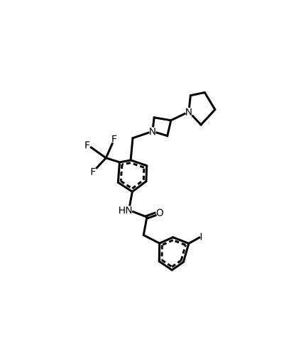 O=C(Cc1cccc(I)c1)Nc1ccc(CN2CC(N3CCCC3)C2)c(C(F)(F)F)c1